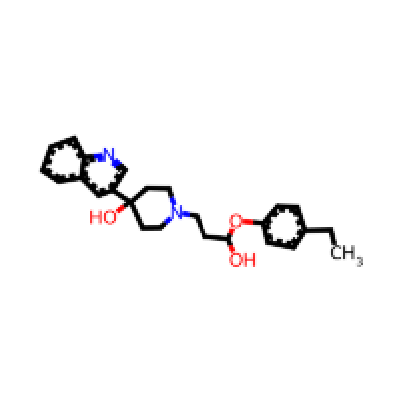 CCc1ccc(OC(O)CCN2CCC(O)(c3cnc4ccccc4c3)CC2)cc1